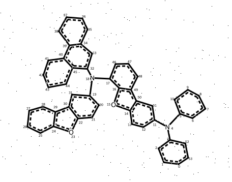 c1ccc(N(c2ccccc2)c2ccc3oc4c(N(c5ccc6oc7ccccc7c6c5)c5cc6ccccc6c6ccccc56)cccc4c3c2)cc1